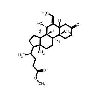 C/C=C1\[C@@H](O)[C@@H]2[C@H](CC[C@]3(C)[C@@H]([C@H](C)CCC(=O)OC)CC[C@@H]23)[C@@]2(C)CCC(=O)C[C@@H]12